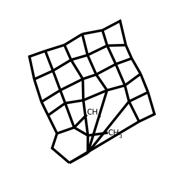 CC12C3CC4C5CC6C7C8C9CC%10C%11C%12C%13CC%14C%15C3C13C%151C%14%13C%12%13C%11%12C9%10C89C78C56C45C2(C)C32C58C9%12C1%132